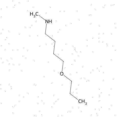 CCCOCCCCNC